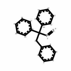 S=PC(Cc1ccccc1)(c1ccccc1)c1ccccc1